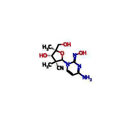 C[C@]1(C#N)[C@H](n2ccc(N)n/c2=N\O)O[C@](C)(CO)[C@H]1O